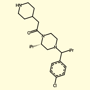 CC(C)C(c1ccc(Cl)cc1)N1CCN(C(=O)CC2CCNCC2)[C@@H](C(C)C)C1